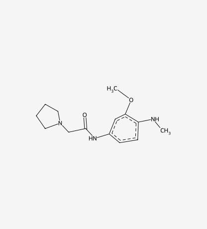 CNc1ccc(NC(=O)CN2CCCC2)cc1OC